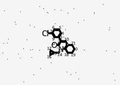 O=c1c(-c2cccc(Cl)c2)cc2c(n1CC1CC1)CCCC2